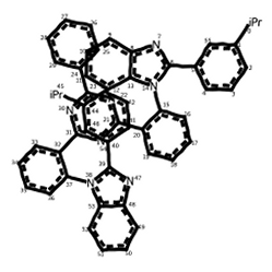 CC(C)c1cccc(-c2nc3ccccc3n2-c2ccccc2-c2nc(-c3ccccc3)nc(-c3ccccc3-n3c(-c4cccc(C(C)C)c4)nc4ccccc43)n2)c1